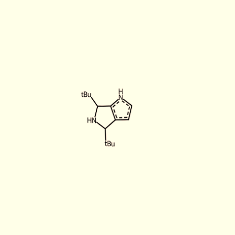 CC(C)(C)C1NC(C(C)(C)C)c2[nH]ccc21